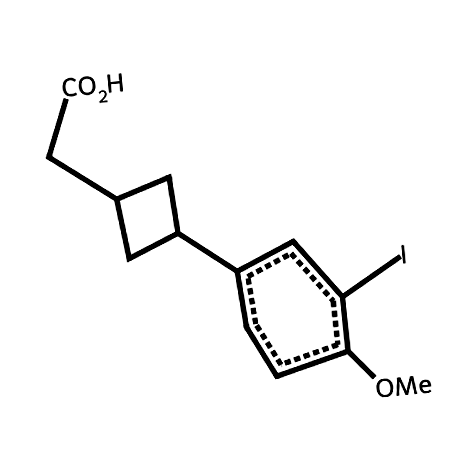 COc1ccc(C2CC(CC(=O)O)C2)cc1I